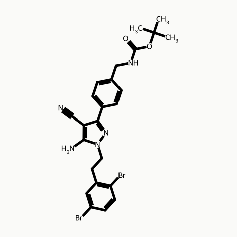 CC(C)(C)OC(=O)NCc1ccc(-c2nn(CCc3cc(Br)ccc3Br)c(N)c2C#N)cc1